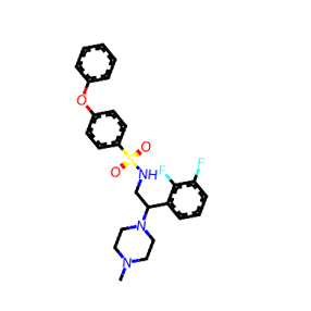 CN1CCN(C(CNS(=O)(=O)c2ccc(Oc3ccccc3)cc2)c2cccc(F)c2F)CC1